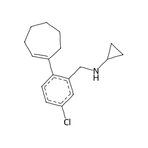 Clc1ccc(C2=CCCCCC2)c(CNC2CC2)c1